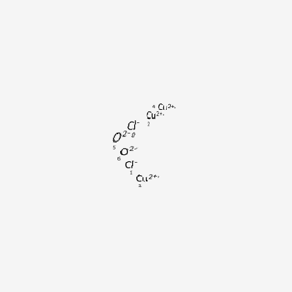 [Cl-].[Cl-].[Cu+2].[Cu+2].[Cu+2].[O-2].[O-2]